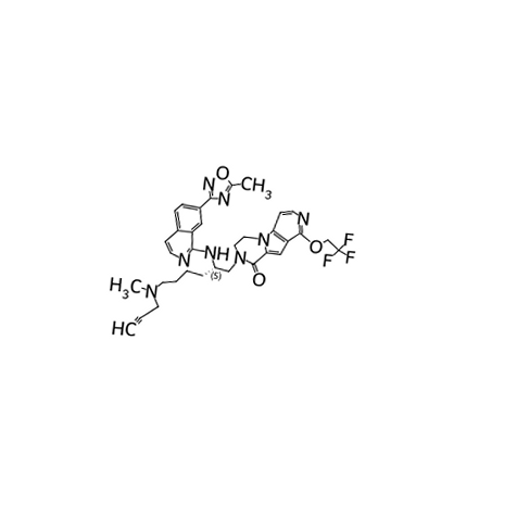 C#CCN(C)CCCC[C@@H](CN1CCn2c(cc3c(OCC(F)(F)F)nccc32)C1=O)Nc1nccc2ccc(-c3noc(C)n3)cc12